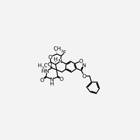 C[C@@H]1O[C@H](C)C(F)N2c3cc4onc(OCc5ccccc5)c4cc3CC3(C(=O)NC(=O)NC3=O)[C@@H]12